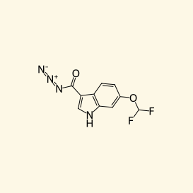 [N-]=[N+]=NC(=O)c1c[nH]c2cc(OC(F)F)ccc12